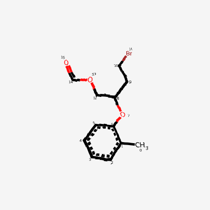 Cc1ccccc1OC(CCBr)COC=O